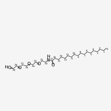 CCCCCCCCCCCCCCCCCC(=O)NCCOCCOCCOCCO